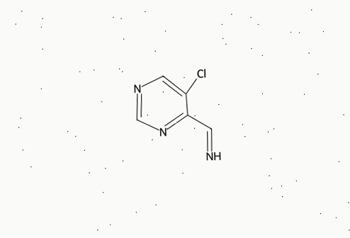 N=Cc1ncncc1Cl